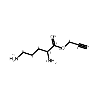 C#CCOC(=O)C(N)CCCN